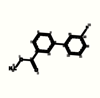 COC(=O)c1cccc(-c2cccc(F)c2)c1